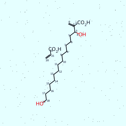 C=C(C(=O)O)C(O)CCCCCCCCCCCCCCO.C=CC(=O)O